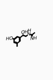 CC(=N)NC[C@H](O)c1cc(C)cc(O)c1